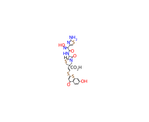 Nc1nc(C(=NO)C(=O)NC2C(=O)N3CC(C=CSc4cc(=O)c5ccc(O)cc5s4)(C(=O)O)CS[C@H]23)cs1